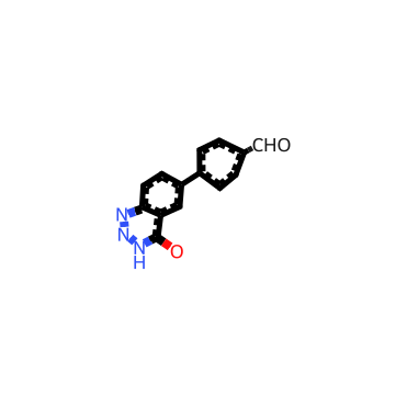 O=Cc1ccc(-c2ccc3nn[nH]c(=O)c3c2)cc1